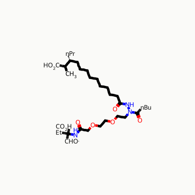 CCCCC(=O)N(CCOCCOCC(=O)NC([C]=O)(CC)C(=O)O)NC(=O)CCCCCCCCC[C@@H](CCC)C(C)C(=O)O